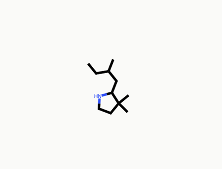 CCC(C)CC1NCCC1(C)C